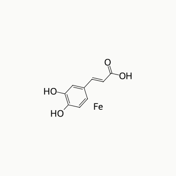 O=C(O)C=Cc1ccc(O)c(O)c1.[Fe]